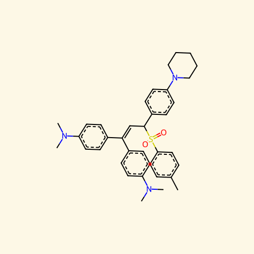 Cc1ccc(S(=O)(=O)C(C=C(c2ccc(N(C)C)cc2)c2ccc(N(C)C)cc2)c2ccc(N3CCCCC3)cc2)cc1